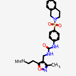 CNCCc1onc(C)c1CNC(=O)Nc1ccc(S(=O)(=O)N2CCc3ccccc3C2)cc1